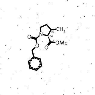 COC(=O)[C@@H]1[C@H](C)CCN1C(=O)OCc1ccccc1